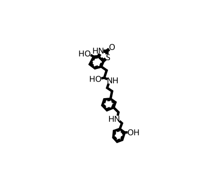 O=c1[nH]c2c(O)ccc(CC(O)NCCc3cccc(CNCc4ccccc4O)c3)c2s1